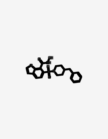 O=C(NO)c1c(S(=O)(=O)N2CCC(Cc3ccccc3)CC2)ccc2ccoc12